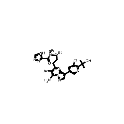 CCCN(C(=O)c1nnc[nH]1)[C@H](CC)CCc1nc2c(-c3cnc(C(C)(C)O)c(Cl)c3)cnn2c(N)c1C(C)=O